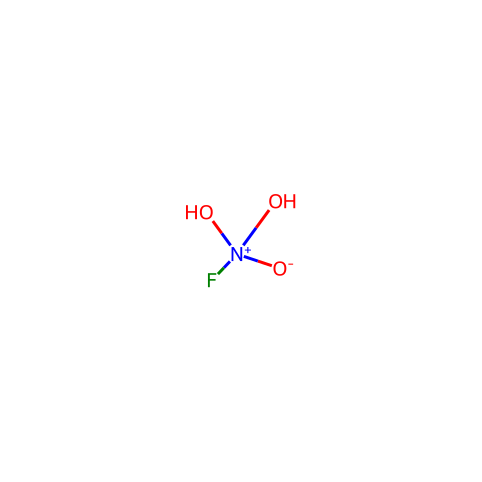 [O-][N+](O)(O)F